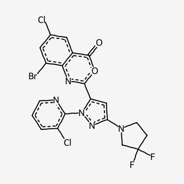 O=c1oc(-c2cc(N3CCC(F)(F)C3)nn2-c2ncccc2Cl)nc2c(Br)cc(Cl)cc12